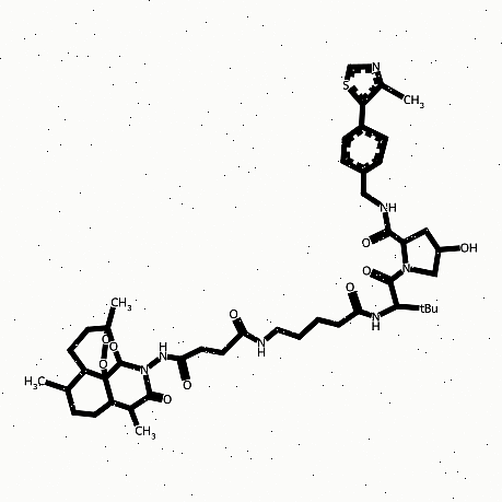 Cc1ncsc1-c1ccc(CNC(=O)C2CC(O)CN2C(=O)C(NC(=O)CCCCNC(=O)CCC(=O)NN2C(=O)C(C)C3CCC(C)C4CCC5(C)OOC43C2O5)C(C)(C)C)cc1